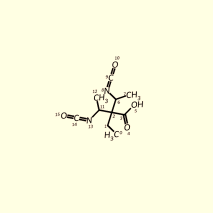 CCC(C(=O)O)(C(C)N=C=O)C(C)N=C=O